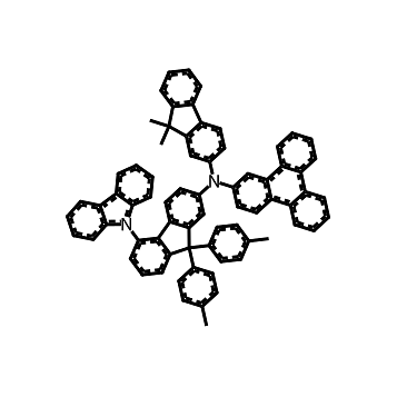 Cc1ccc(C2(c3ccc(C)cc3)c3cc(N(c4ccc5c(c4)C(C)(C)c4ccccc4-5)c4ccc5c6ccccc6c6ccccc6c5c4)ccc3-c3c(-n4c5ccccc5c5ccccc54)cccc32)cc1